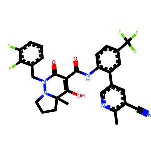 Cc1ncc(-c2cc(C(F)(F)F)ccc2NC(=O)C2=C(O)C3(C)CCCN3N(Cc3cccc(F)c3F)C2=O)cc1C#N